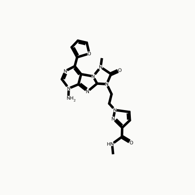 CNC(=O)c1ccn(CCN2C(=O)N(C)N3C4=C(c5ccco5)N=CN(N)C4=NC23)n1